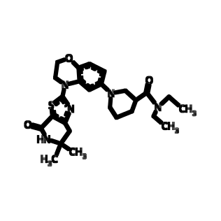 CCN(CC)C(=O)C1CCCN(c2ccc3c(c2)N(c2nc4c(s2)C(=O)NC(C)(C)C4)CCO3)C1